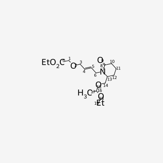 CCOC(=O)COCC=CCN1C(=O)CCCC1COC(C)OCC